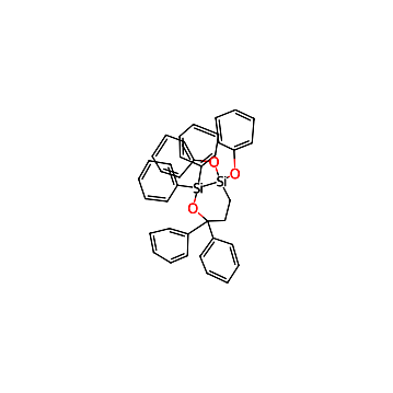 c1ccc(O[Si]2(Oc3ccccc3)CCC(c3ccccc3)(c3ccccc3)O[Si]2(c2ccccc2)c2ccccc2)cc1